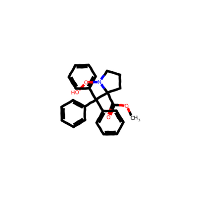 COC(=O)C1(C(c2ccccc2)(c2ccccc2)c2ccccc2)CCCN1OO